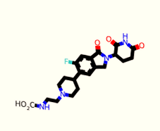 O=C(O)NCCN1CCC(c2cc3c(cc2F)C(=O)N(C2CCC(=O)NC2=O)C3)CC1